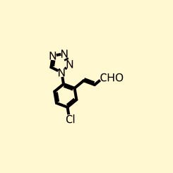 O=C/C=C/c1cc(Cl)ccc1-n1cnnn1